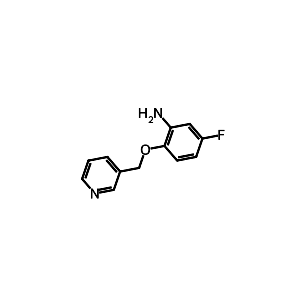 Nc1cc(F)ccc1OCc1cccnc1